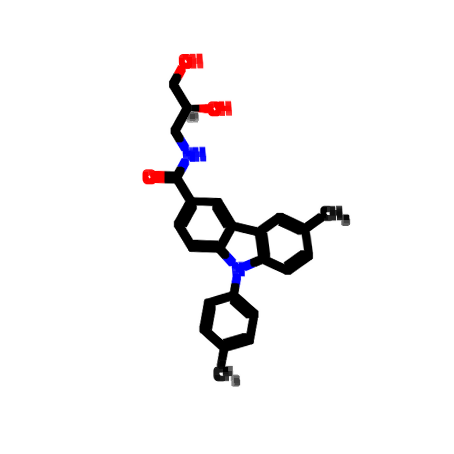 Cc1ccc2c(c1)c1cc(C(=O)NC[C@H](O)CO)ccc1n2-c1ccc(C(F)(F)F)cc1